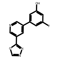 Oc1cc(F)cc(-c2cncc(-c3nnco3)c2)c1